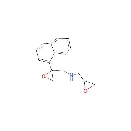 c1ccc2c(C3(CNCC4CO4)CO3)cccc2c1